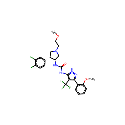 COCCN1C[C@@H](NC(=O)Nc2[nH]nc(-c3ccccc3OC)c2C(F)(F)F)[C@H](c2ccc(F)c(F)c2)C1